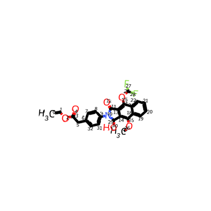 CCOC(=O)Cc1ccc(N2C(=O)c3c(c(OC)c4ccccc4c3OC(F)F)C2O)cc1